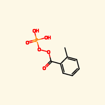 Cc1ccccc1C(=O)OOP(=O)(O)O